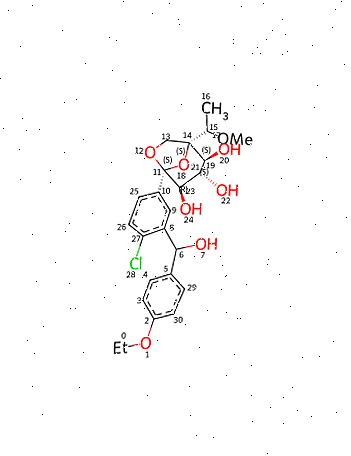 CCOc1ccc(C(O)c2cc([C@]34OC[C@](C(C)OC)(O3)[C@@H](O)[C@H](O)[C@H]4O)ccc2Cl)cc1